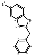 Brc1ccc2[nH]c(Cc3ccccc3)nc2c1